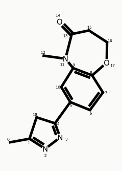 CC1=NN=C(c2ccc3c(c2)N(C)C(=O)CCO3)C1